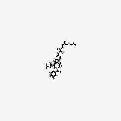 CCCCCN(C)CCNC(=O)Oc1ccc2c3c([nH]c2c1)C(C(=O)OC(C)C)=CN(C(=O)c1ccc(F)c(F)c1)CC3(C)C